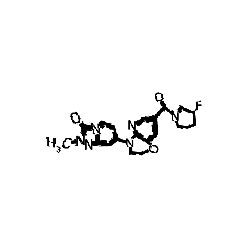 Cn1nc2cc(N3CCOc4cc(C(=O)N5CCC[C@@H](F)C5)cnc43)ccn2c1=O